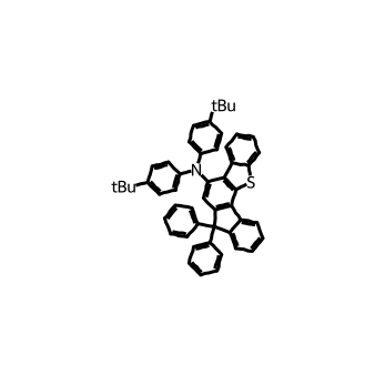 CC(C)(C)c1ccc(N(c2ccc(C(C)(C)C)cc2)c2cc3c(c4sc5ccccc5c24)-c2ccccc2C3(c2ccccc2)c2ccccc2)cc1